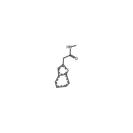 CNC(=O)Cc1cc2ccccc2s1